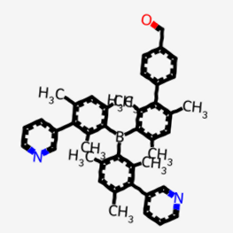 Cc1cc(C)c(-c2ccc(C=O)cc2)c(C)c1B(c1c(C)cc(C)c(-c2cccnc2)c1C)c1c(C)cc(C)c(-c2cccnc2)c1C